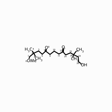 COCC(C)(C)CCC(=O)CCCC(=O)CCC(C)(C)CCO